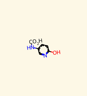 O=C(O)Nc1ccc(O)nc1